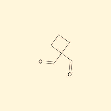 O=CC1(C=O)CCC1